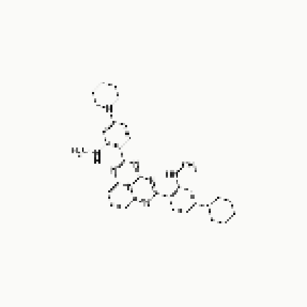 CNc1cc(N2CCCCC2)ccc1C1=NC2=CC=CC3=NC(c4ccc(N5CCCCC5)cc4NC)=NC(=N1)N23